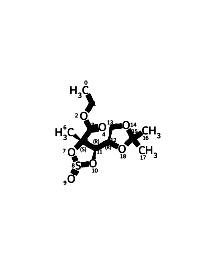 CCOC(=O)[C@@]1(C)OS(=O)O[C@@H]1[C@H]1COC(C)(C)O1